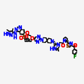 Cc1[nH]nc(Nc2ncnc3cc(OCCOc4cnc(N5CCC6(CCN(C[C@H]7CN[C@H](C)CN7CC(=O)N7CCC[C@H]7c7nc(C(=O)c8ccc(F)cc8)cs7)CC6)CC5)nc4)c(S(=O)(=O)C(C)(C)C)cc23)c1C